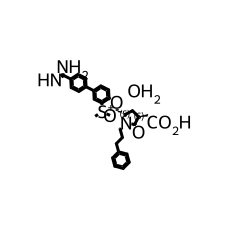 C[S+]([O-])c1cc(-c2ccc(C(=N)N)cc2)ccc1OC[C@@H]1C[C@@H](CC(=O)O)C(=O)N1CCCc1ccccc1.O